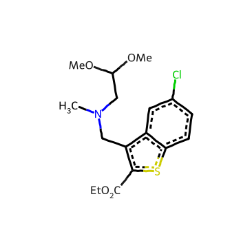 CCOC(=O)c1sc2ccc(Cl)cc2c1CN(C)CC(OC)OC